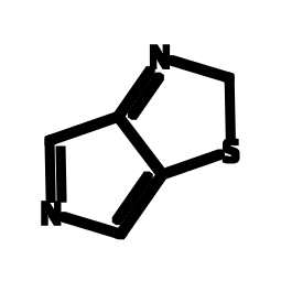 C1=NC=C2SCN=C12